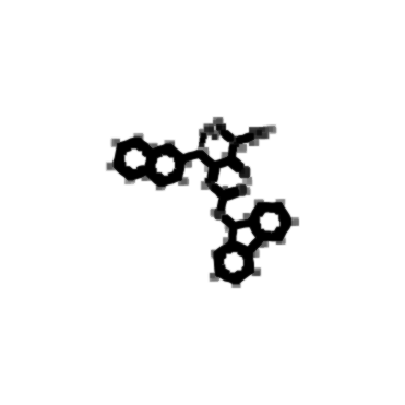 C[C@H](C(=NC(=O)OC1c2ccccc2-c2ccccc21)C(=O)N(C)N)c1ccc2ccccc2c1.Cl